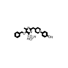 Cc1nc(CC2CCN(c3ccc(O)cc3)CC2)nc(C(=O)O)c1OCc1ccccc1.Cl